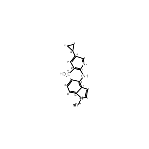 CCCn1ccc2c(Nc3ncc(C4CC4)cc3C(=O)O)cccc21